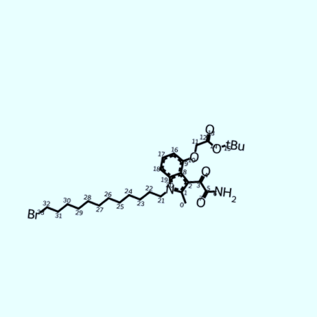 Cc1c(C(=O)C(N)=O)c2c(OCC(=O)OC(C)(C)C)cccc2n1CCCCCCCCCCCCBr